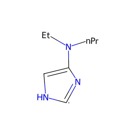 CCCN(CC)c1c[nH][c]n1